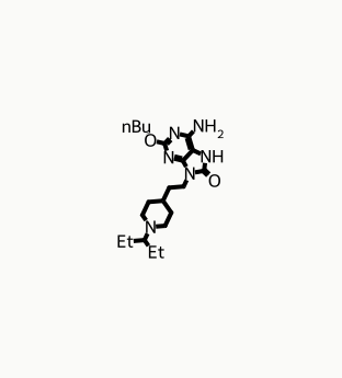 CCCCOc1nc(N)c2[nH]c(=O)n(CCC3CCN(C(CC)CC)CC3)c2n1